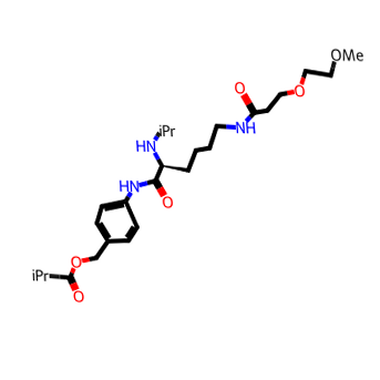 COCCOCCC(=O)NCCCC[C@H](NC(C)C)C(=O)Nc1ccc(COC(=O)C(C)C)cc1